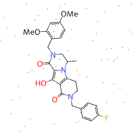 COc1ccc(CN2CC(C)n3c4c(c(O)c3C2=O)C(=O)N(Cc2ccc(F)cc2)CC4)c(OC)c1